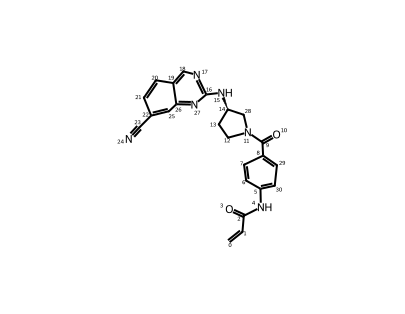 C=CC(=O)Nc1ccc(C(=O)N2CC[C@@H](Nc3ncc4ccc(C#N)cc4n3)C2)cc1